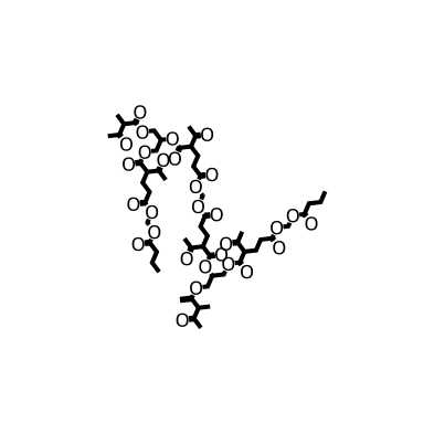 C=C(OCC(COC(=O)C(CCC(=O)OCOC(=O)CCC)C(C)=O)OC(=O)C(CCC(=O)OCOC(=O)CCC(C(C)=O)C(=O)OC(COC(=O)C(C)C(C)=O)COC(=O)C(CCC(=O)OCOC(=O)CCC)C(C)=O)C(C)=O)C(C)C(C)=O